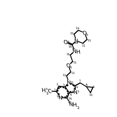 Cc1cc2c(nc(CC3CC3)n2CCOCCNC(=O)N2CCOCC2)c(N)n1